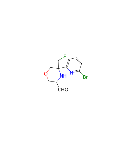 O=CC1COCC(CF)(c2cccc(Br)n2)N1